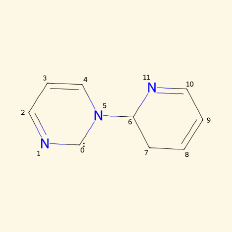 [C]1N=CC=CN1C1CC=CC=N1